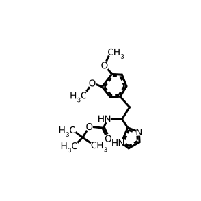 COc1ccc(CC(NC(=O)OC(C)(C)C)c2ncc[nH]2)cc1OC